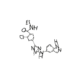 CCNC(=O)c1ccc(-c2nc(Nc3ccc4[nH]ncc4c3)n(C)n2)cc1Cl